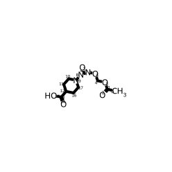 CC(=O)OCOn1on1N1CCC(C(=O)O)CC1